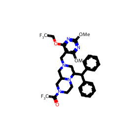 COc1nc(OC)c(CN2CC3CN(C(=O)C(F)(F)F)CCN3C(C(c3ccccc3)c3ccccc3)C2)c(OCC(F)(F)F)n1